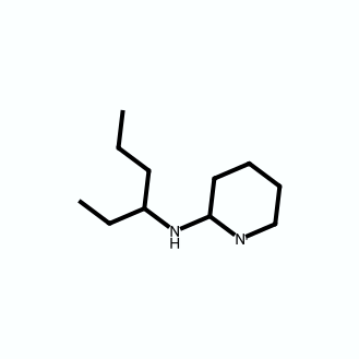 CCCC(CC)NC1CCCC[N]1